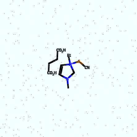 CC[N+]1(SC#N)C=CN(C)C1.O=C(O)CCC(=O)O